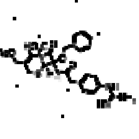 CC(=O)OCC1=C(C(=O)O)N2C(=O)[C@](NC(=O)Cc3ccc(NC(=N)N)cc3)(OCc3ccccc3)[C@H]2SC1